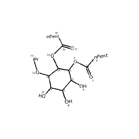 CCCCCC(=O)OC1C(O)C(O)C(O)C(OC(C)C)C1OC(=O)CCCCC